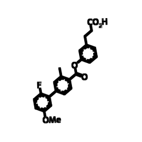 COc1ccc(F)c(-c2ccc(C(=O)Oc3cccc(CCC(=O)O)c3)c(C)c2)c1